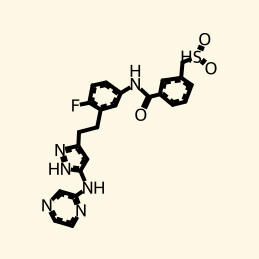 O=C(Nc1ccc(F)c(CCc2cc(Nc3cnccn3)[nH]n2)c1)c1cccc(C[SH](=O)=O)c1